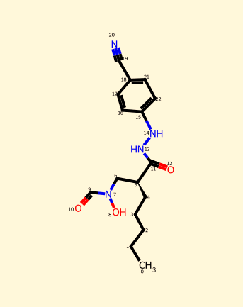 CCCCC[C@@H](CN(O)C=O)C(=O)NNc1ccc(C#N)cc1